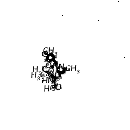 COc1ccc(CN(C(=O)OC(C)(C)C)c2cc(C[C@H]3C(=O)N[C@@H]3C(=O)O)cc(C)n2)cc1